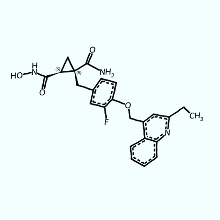 CCc1cc(COc2ccc(C[C@]3(C(N)=O)C[C@@H]3C(=O)NO)cc2F)c2ccccc2n1